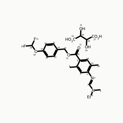 CCN(C)C=Nc1cc(C)c(C(=O)OCc2ccc(OC(F)F)cc2)cc1C.O=C(O)C(O)C(O)C(=O)O